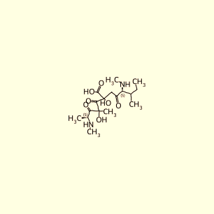 CCC(C)[C@H](NC)C(=O)CC(O)(C(=O)O)C(=O)C(C)(O)C(=O)[C@H](C)NC